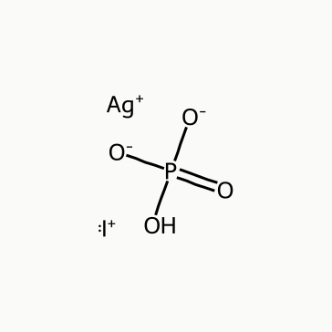 O=P([O-])([O-])O.[Ag+].[I+]